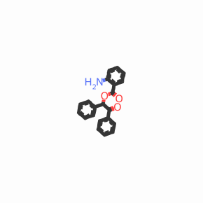 Nc1ccccc1C(=O)OC(C(=O)c1ccccc1)c1ccccc1